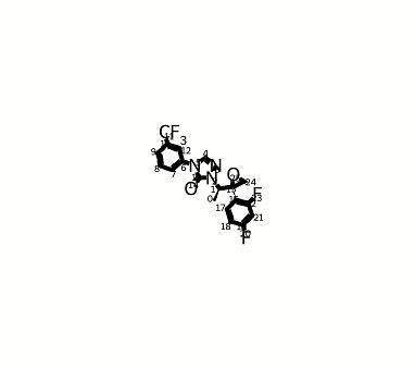 C[C@@H](n1ncn(-c2cccc(C(F)(F)F)c2)c1=O)[C@]1(c2ccc(F)cc2F)CO1